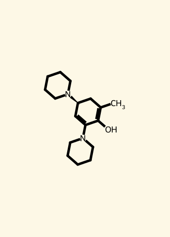 CC1=C(O)C(N2CCCCC2)=C[C@@H](N2CCCCC2)C1